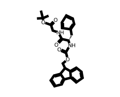 CC(C)(C)OC(=O)CNC(=O)[C@H](Cc1ccccc1)NC(=O)OCC1c2ccccc2-c2ccccc21